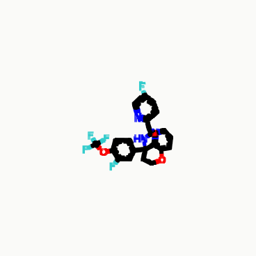 O=C(N[C@]1(c2ccc(OC(F)(F)F)c(F)c2)CCOc2cccnc21)c1ccc(F)cn1